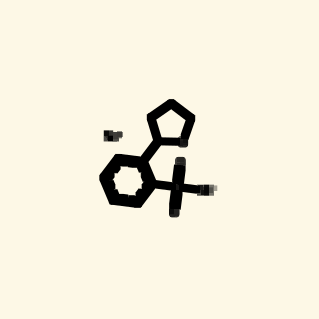 [NH-]S(=O)(=O)c1ccccc1C1CCCO1.[Na+]